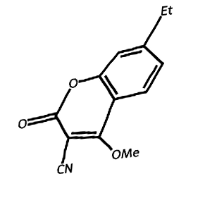 CCc1ccc2c(OC)c(C#N)c(=O)oc2c1